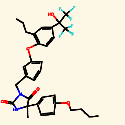 CCCCOc1ccc(C2(C)NC(=O)N(Cc3cccc(Oc4ccc(C(O)(C(F)(F)F)C(F)(F)F)cc4CCC)c3)C2=O)cc1